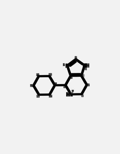 c1nc2c([nH]1)CCNC2C1CCCCC1